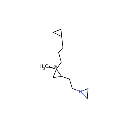 C[C@]1(CCCC2CC2)CC1CCN1CC1